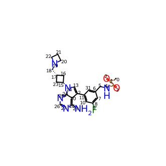 CS(=O)(=O)NCc1cc(F)cc(-c2cn([C@H]3C[C@@H](CN4CCC4)C3)c3ncnc(N)c23)c1